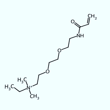 C=CC(=O)NCCOCCOCC[N+](C)(C)CC